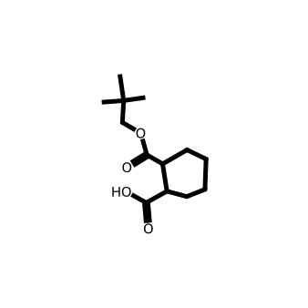 CC(C)(C)COC(=O)C1CCCCC1C(=O)O